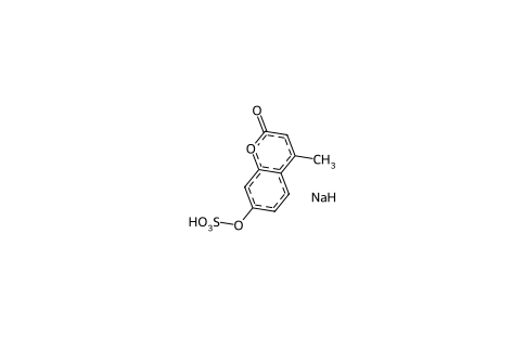 Cc1cc(=O)oc2cc(OS(=O)(=O)O)ccc12.[NaH]